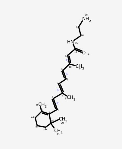 CC1=C(/C=C/C(C)=C/C=C/C(C)=C/C(=O)NCCN)C(C)(C)CCC1